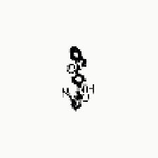 N#C[C@@H]1CCCN1C(=O)CNC1CCC(C(=O)N2CCc3ccccc32)CC1